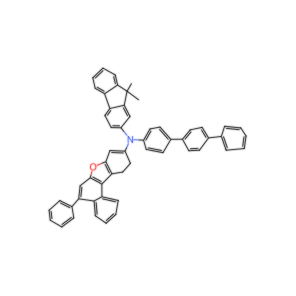 CC1(C)c2ccccc2-c2ccc(N(C3=Cc4oc5cc(-c6ccccc6)c6ccccc6c5c4CC3)c3ccc(-c4ccc(-c5ccccc5)cc4)cc3)cc21